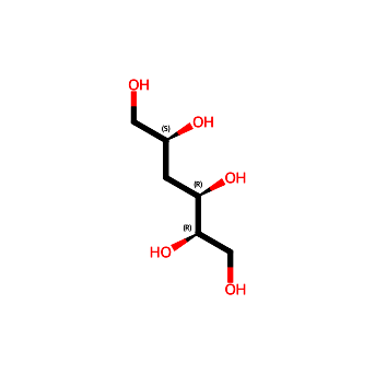 OC[C@@H](O)C[C@@H](O)[C@H](O)CO